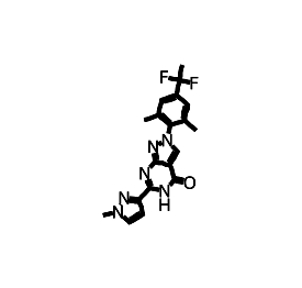 Cc1cc(C(C)(F)F)cc(C)c1-n1cc2c(=O)[nH]c(-c3ccn(C)n3)nc2n1